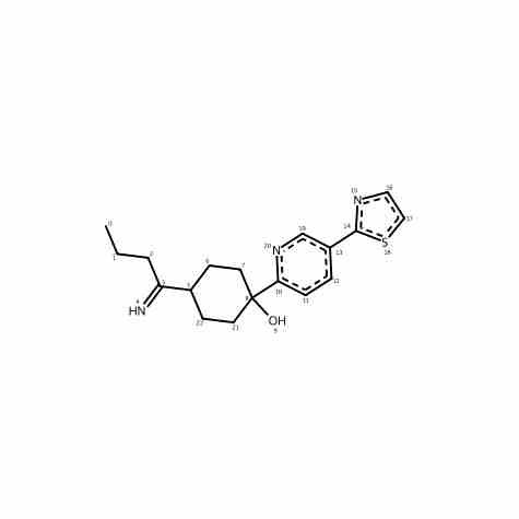 C[CH]CC(=N)C1CCC(O)(c2ccc(-c3nccs3)cn2)CC1